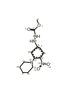 COC(=O)NNc1ccc([N+](=O)[O-])c(N2CCCCC2)c1